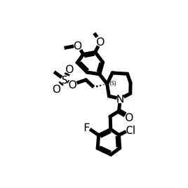 COc1ccc([C@@]2(CCOS(C)(=O)=O)CCCCN(C(=O)Cc3c(F)cccc3Cl)C2)cc1OC